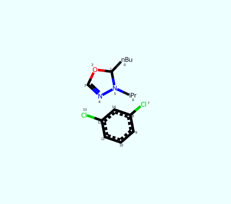 CCCCC1OC=NN1C(C)C.Clc1cccc(Cl)c1